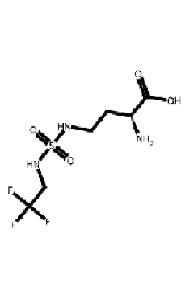 N[C@@H](CCNS(=O)(=O)NCC(F)(F)F)C(=O)O